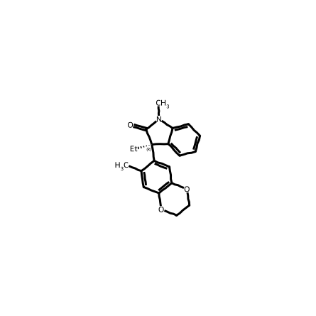 CC[C@]1(c2cc3c(cc2C)OCCO3)C(=O)N(C)c2ccccc21